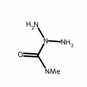 [CH2]NC(=O)N(N)N